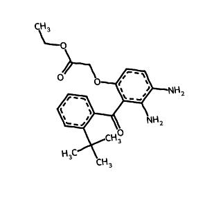 CCOC(=O)COc1ccc(N)c(N)c1C(=O)c1ccccc1C(C)(C)C